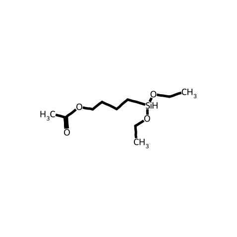 CCO[SiH](CCCCOC(C)=O)OCC